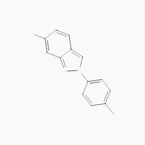 Cc1ccc(-n2cc3ccc(F)cc3n2)cc1